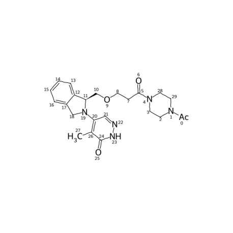 CC(=O)N1CCN(C(=O)CCOC[C@@H]2c3ccccc3CN2c2cn[nH]c(=O)c2C)CC1